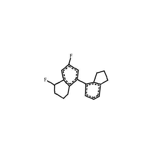 Fc1cc(-c2cccc3c2CCC3)c2c(c1)C(F)CCC2